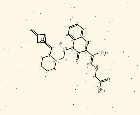 C=C1C2CC1C2=CN1CCCC[C@H]1C[C@H](C)n1c(=O)c(/C(=N/OCC(N)=O)C(=O)O)nc2ccccc21